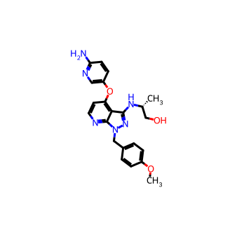 COc1ccc(Cn2nc(N[C@H](C)CO)c3c(Oc4ccc(N)nc4)ccnc32)cc1